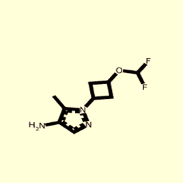 Cc1c(N)cnn1C1CC(OC(F)F)C1